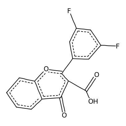 O=C(O)c1c(-c2cc(F)cc(F)c2)oc2ccccc2c1=O